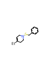 CCC1=CCN(SCc2ccccc2)CC1